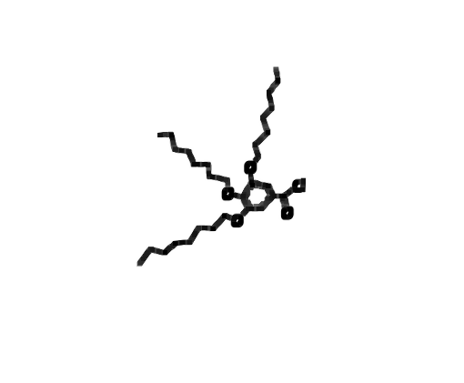 CCCCCCCCOc1cc(C(=O)Cl)cc(OCCCCCCCC)c1OCCCCCCCC